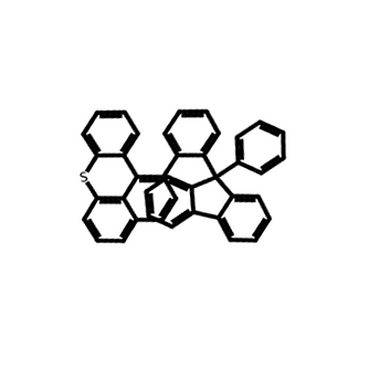 c1ccc(C2(c3ccccc3-c3ccc4cccc5c4c3-c3ccccc3S5)c3ccccc3-c3ccccc32)cc1